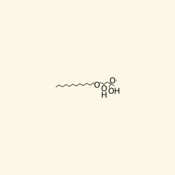 CCCCCCCCCCCCOCC(O)CC(C)([O])CO